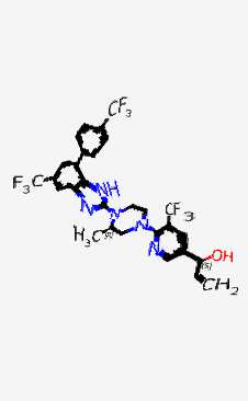 C=C[C@H](O)c1cnc(N2CCN(c3nc4cc(C(F)(F)F)cc(-c5ccc(C(F)(F)F)cc5)c4[nH]3)[C@H](C)C2)c(C(F)(F)F)c1